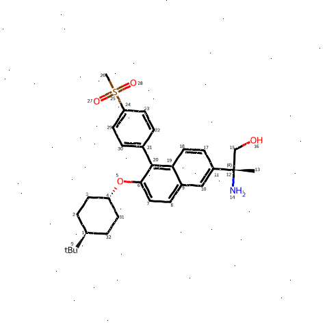 CC(C)(C)[C@H]1CC[C@H](Oc2ccc3cc([C@@](C)(N)CO)ccc3c2-c2ccc(S(C)(=O)=O)cc2)CC1